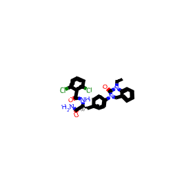 CCN1C(=O)N(c2ccc(C[C@H](NC(=O)c3c(Cl)cccc3Cl)C(N)=O)cc2)Cc2ccccc21